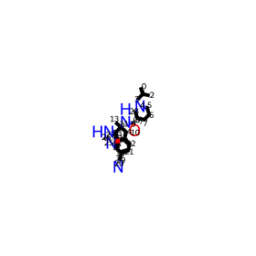 CC(C)CN1CCC[C@H](C(=O)NC(C)(Cc2ccc(C#N)cc2)c2cnc[nH]2)C1